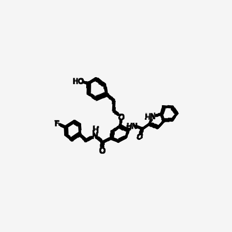 O=C(NCc1ccc(F)cc1)c1ccc(NC(=O)c2cc3ccccc3[nH]2)c(OCCc2ccc(O)cc2)c1